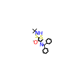 COc1c(N=C(c2ccccc2)c2ccccc2)csc1SNC(C)(C)C